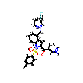 Cc1ccc(S(=O)(=O)n2c(C(=O)C(C#N)=CN(C)C)cc3c(CN4CC[C@@H](F)C4)cccc32)cc1